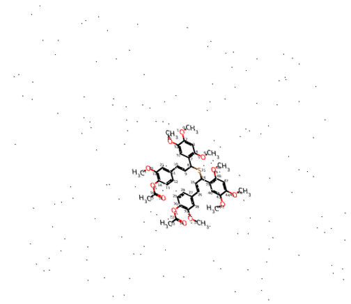 COc1cc(OC)c(C(C=Cc2ccc(OC(C)=O)c(OC)c2)SC(C=Cc2ccc(OC(C)=O)c(OC)c2)c2cc(OC)c(OC)cc2OC)cc1OC